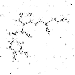 CCOC(=O)CCc1nonc1C(=O)[AsH]c1ccc(F)c(Cl)c1